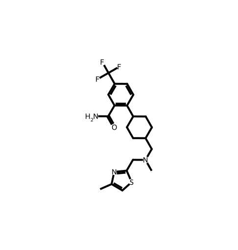 Cc1csc(CN(C)CC2CCC(c3ccc(C(F)(F)F)cc3C(N)=O)CC2)n1